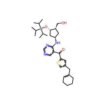 CC(C)[Si](O[C@H]1C[C@H](Nc2ncncc2C(=O)c2cc(CC3=CCCCC3)cs2)C[C@@H]1CO)(C(C)C)C(C)C